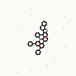 c1ccc(-c2ccc(-c3ccccc3N(c3cccc(-c4ccccc4)c3)c3ccccc3-c3cccc4oc5c6ccccc6ccc5c34)cc2)cc1